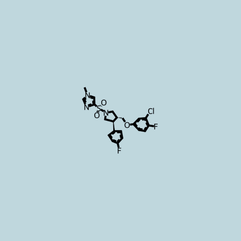 Cn1cnc(S(=O)(=O)N2C[C@H](COc3ccc(F)c(Cl)c3)[C@@H](c3ccc(F)cc3)C2)c1